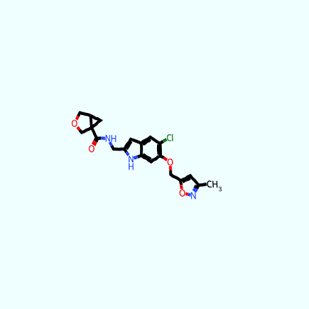 Cc1cc(COc2cc3[nH]c(CNC(=O)C45COCC4C5)cc3cc2Cl)on1